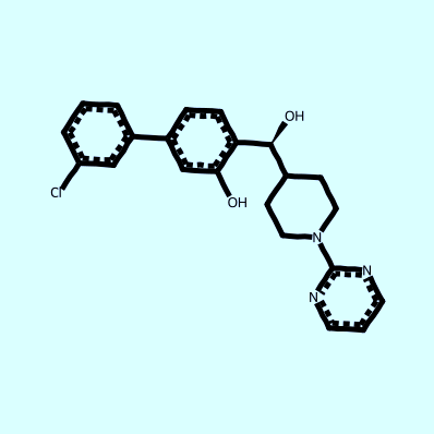 Oc1cc(-c2cccc(Cl)c2)ccc1[C@@H](O)C1CCN(c2ncccn2)CC1